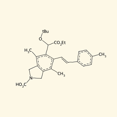 CCOC(=O)C(OC(C)(C)C)c1c(C)c2c(c(C)c1C=Cc1ccc(C)cc1)CN(C(=O)O)C2